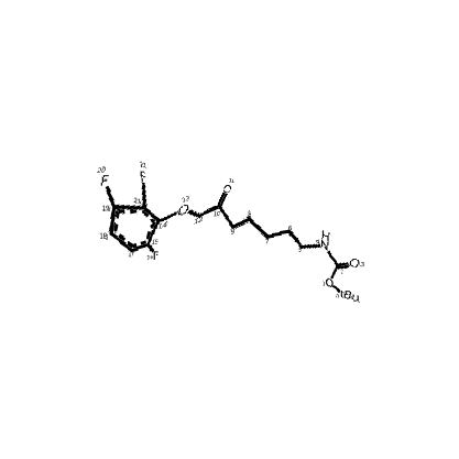 CC(C)(C)OC(=O)NCCCCCC(=O)COc1c(F)ccc(F)c1F